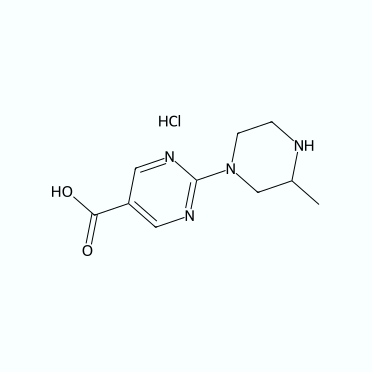 CC1CN(c2ncc(C(=O)O)cn2)CCN1.Cl